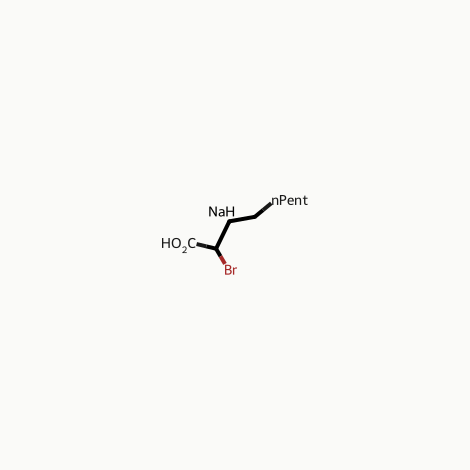 CCCCCCCC(Br)C(=O)O.[NaH]